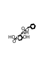 O=C(NC[C@@H]1CN(C(=O)O)CC[C@@H]1O)OCc1ccccc1